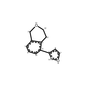 c1cc2c(c(-c3ccon3)c1)CCOC2